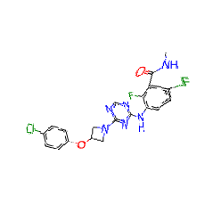 CNC(=O)c1c(F)ccc(Nc2ncnc(N3CC(Oc4ccc(Cl)cc4)C3)n2)c1F